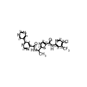 CC(NC(=O)c1cc(-c2cncnc2)ncn1)c1ncc(C(=O)Nc2cc(C(F)(F)F)c(Cl)cn2)s1